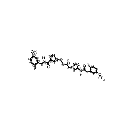 O=C(Cc1cc(OC(F)(F)F)ccc1F)Nc1cn(CC(F)CCn2cc(C(=O)NCc3cc(O)ccc3F)nn2)nn1